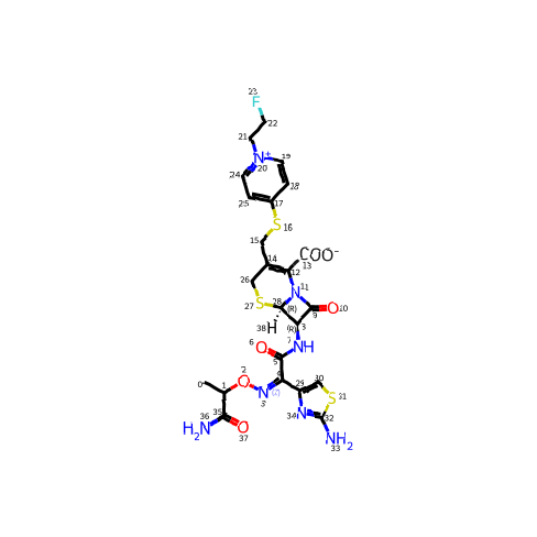 CC(O/N=C(\C(=O)N[C@@H]1C(=O)N2C(C(=O)[O-])=C(CSc3cc[n+](CCF)cc3)CS[C@H]12)c1csc(N)n1)C(N)=O